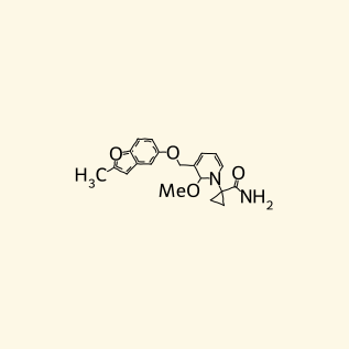 COC1C(COc2ccc3oc(C)cc3c2)=CC=CN1C1(C(N)=O)CC1